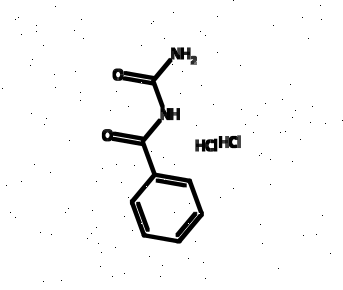 Cl.Cl.NC(=O)NC(=O)c1ccccc1